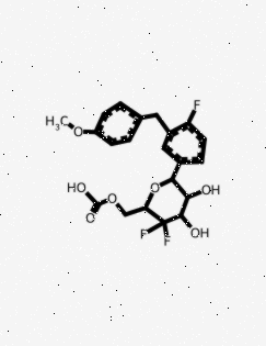 COc1ccc(Cc2cc(C3OC(COC(=O)O)C(F)(F)C(O)C3O)ccc2F)cc1